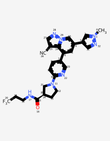 Cn1cc(-c2cc(-c3ccc(N4CC[C@@H](C(=O)NCCC(F)(F)F)C4)nc3)c3c(C#N)cnn3c2)cn1